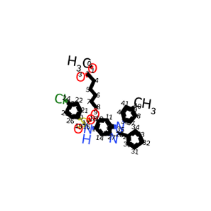 COC(=O)CCCCCOc1cc2c(cc1NS(=O)(=O)c1ccc(Cl)cc1)nc(-c1ccccc1)n2-c1ccc(C)cc1